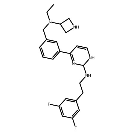 CCN(Cc1cccc(C2=NC(NCCc3cc(F)cc(F)c3)NC=C2)c1)C1CNC1